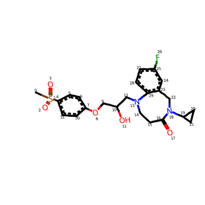 CS(=O)(=O)c1ccc(OCC(O)CN2CCC(=O)N(C3CC3)Cc3cc(F)ccc32)cc1